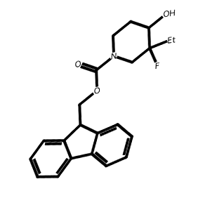 CCC1(F)CN(C(=O)OCC2c3ccccc3-c3ccccc32)CCC1O